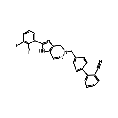 N#Cc1ccccc1-c1ccc(CN2Cc3nc(-c4cccc(F)c4F)[nH]c3C=N2)cc1